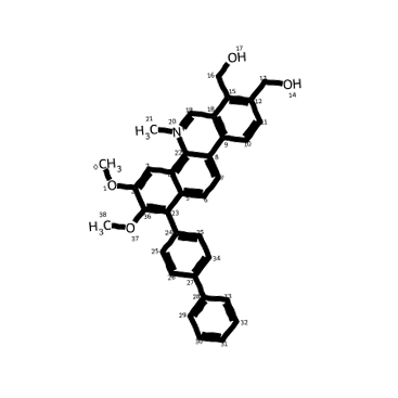 COc1cc2c(ccc3c4ccc(CO)c(CO)c4c[n+](C)c23)c(-c2ccc(-c3ccccc3)cc2)c1OC